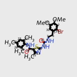 COc1cc(Br)c(CCNC(=O)Nc2nc(C)c(C(=O)Nc3c(C)cc(C)cc3C)s2)cc1OC